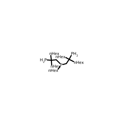 CCCCCCP(CC(P)(CCCCCC)CCCCCC)CC(P)(CCCCCC)CCCCCC